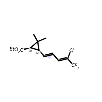 CCOC(=O)[C@@H]1[C@H](/C=C/C=C(Cl)C(F)(F)F)C1(C)C